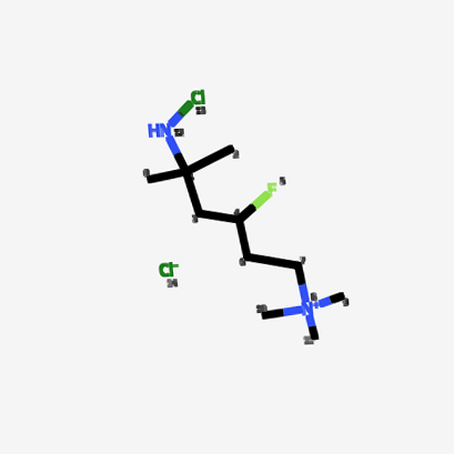 CC(C)(CC(F)CC[N+](C)(C)C)NCl.[Cl-]